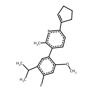 COc1cc(F)c(C(C)C)cc1-c1ccc(C2=CCCC2)nc1C